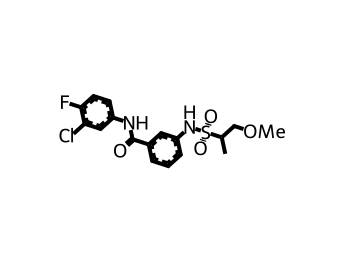 COCC(C)S(=O)(=O)Nc1cccc(C(=O)Nc2ccc(F)c(Cl)c2)c1